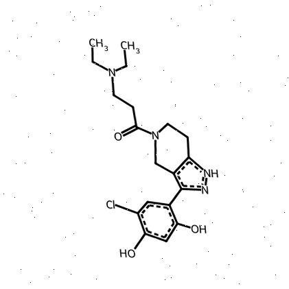 CCN(CC)CCC(=O)N1CCc2[nH]nc(-c3cc(Cl)c(O)cc3O)c2C1